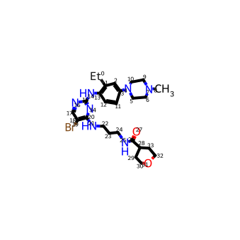 CCc1cc(N2CCN(C)CC2)ccc1Nc1ncc(Br)c(NCCCNC(=O)C2CCOCC2)n1